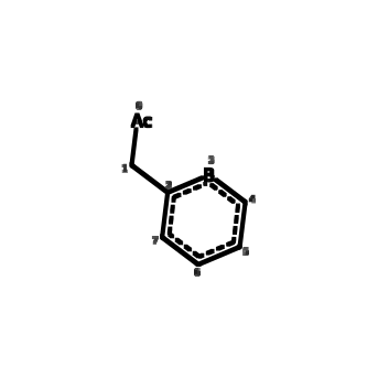 CC(=O)Cc1bcccc1